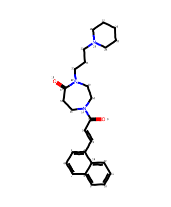 O=C(C=Cc1cccc2ccccc12)N1CCC(=O)N(CCCN2CCCCC2)CC1